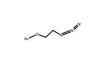 CC(=O)OCCN=[N+]=[N-]